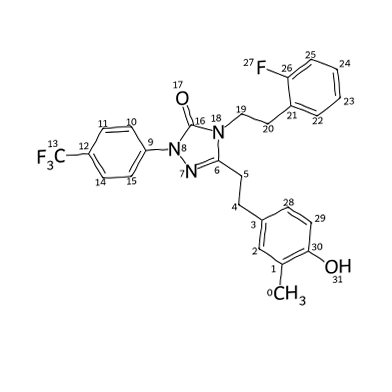 Cc1cc(CCc2nn(-c3ccc(C(F)(F)F)cc3)c(=O)n2CCc2ccccc2F)ccc1O